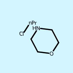 C1COCCN1.CCCCl